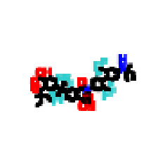 CCC(C)(CC)Nc1ccc(-c2ccc(NC(=O)c3cc(C(c4ccc(C(=O)O)c(C(=O)C(C)(CC)CC)c4)(C(F)(F)F)C(F)(F)F)ccc3C(=O)O)cc2C(F)(F)F)c(C(F)(F)F)c1